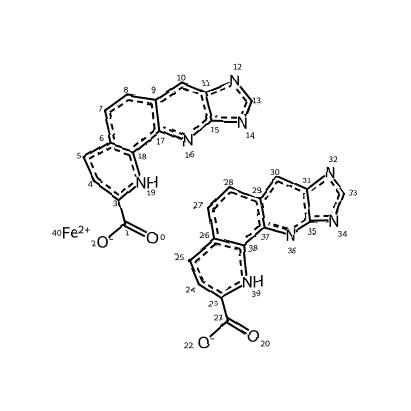 O=C([O-])c1ccc2ccc3cc4ncnc4nc3c2[nH]1.O=C([O-])c1ccc2ccc3cc4ncnc4nc3c2[nH]1.[Fe+2]